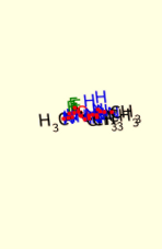 CCN1CCN(c2cc(C(=O)Nc3ccc(C)c(Nc4nn(C)c5nc(NCCCCN(C)C)ncc45)c3)cc(C(F)(F)F)c2)CC1